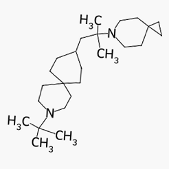 CC(C)(C)N1CCC2(CCC(CC(C)(C)N3CCC4(CC3)CC4)CC2)CC1